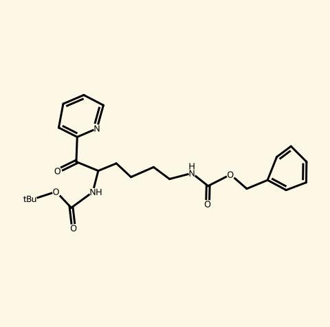 CC(C)(C)OC(=O)NC(CCCCNC(=O)OCc1ccccc1)C(=O)c1ccccn1